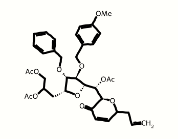 C=CCC1C=CC(=O)[C@@H]([C@@H](OC(C)=O)[C@@H]2O[C@H](CC(COC(C)=O)OC(C)=O)[C@H](OCc3ccccc3)[C@H]2OCc2ccc(OC)cc2)O1